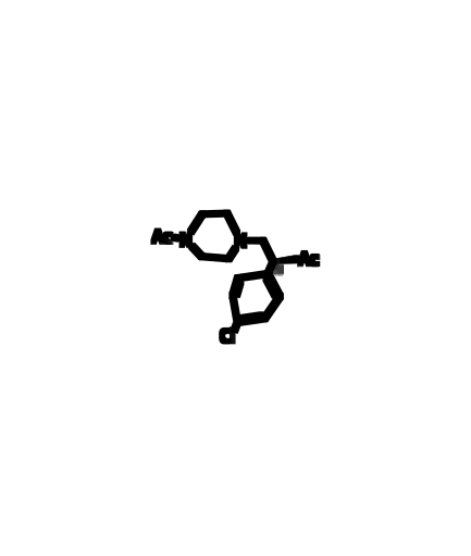 CC(=O)[C@H](CN1CCN(C(C)=O)CC1)c1ccc(Cl)cc1